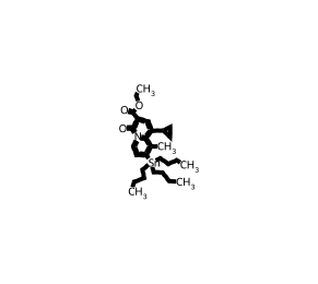 CCC[CH2][Sn]([CH2]CCC)([CH2]CCC)[c]1ccn2c(=O)c(C(=O)OCC)cc(C3CC3)c2c1C